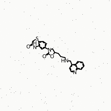 O=C1CSc2ccc(N3CC(CCCNCc4ccnc5ccccc45)OC3=O)cc2N1